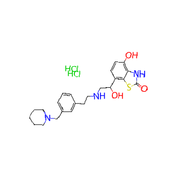 Cl.Cl.O=c1[nH]c2c(O)ccc(C(O)CNCCc3cccc(CN4CCCCC4)c3)c2s1